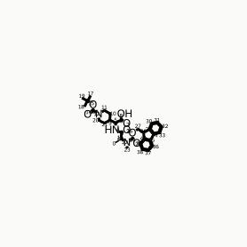 C[C@@H](C(=O)NC(C(=O)O)C1CCN(C(=O)OC(C)(C)C)CC1)N(C)C(=O)OCC1c2ccccc2-c2ccccc21